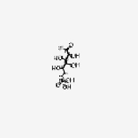 O=C(F)C(O)C(O)C(O)C(O)COP(=O)(O)O